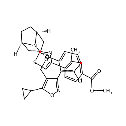 COC(=O)c1ccc(-c2csc(N3[C@@H]4CC[C@H]3C[C@H](OCc3c(-c5c(Cl)cccc5Cl)noc3C3CC3)C4)n2)c(C)c1